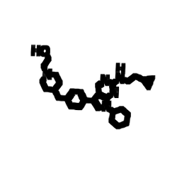 OCCN1CCC(Cc2ccc(-c3cn(C4CCCCC4)c4nc(NCCC5CC5)ncc34)cc2)CC1